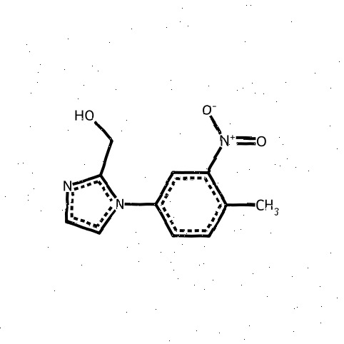 Cc1ccc(-n2ccnc2CO)cc1[N+](=O)[O-]